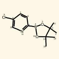 CC1(C)OB(c2ccc(Cl)cn2)OC1(C)C